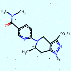 CCOC(=O)c1nn(CC)c2c1CN(c1ccc(C(=O)N(C)C)cn1)[C@H](C)C2